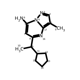 Cc1cnn2c(N)cc(C(C)C3CCCC3)nc12